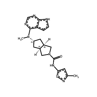 Cc1cc(NC(=O)N2C[C@H]3C[C@H](N(C)c4ncnc5[nH]ccc45)C[C@H]3C2)sn1